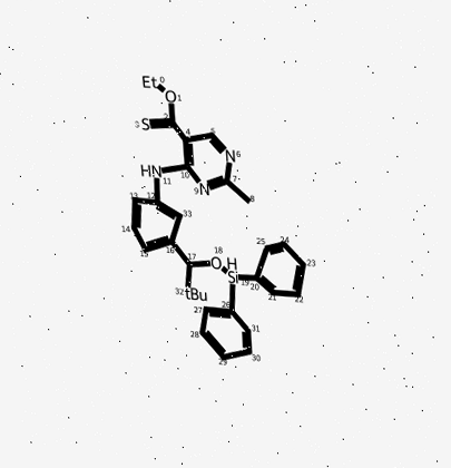 CCOC(=S)c1cnc(C)nc1Nc1cccc(C(O[SiH](c2ccccc2)c2ccccc2)C(C)(C)C)c1